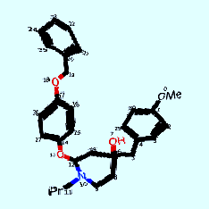 COc1ccc(CC2(O)CCN(C(C)C)C(Oc3ccc(OCc4ccccc4)cc3)C2)cc1